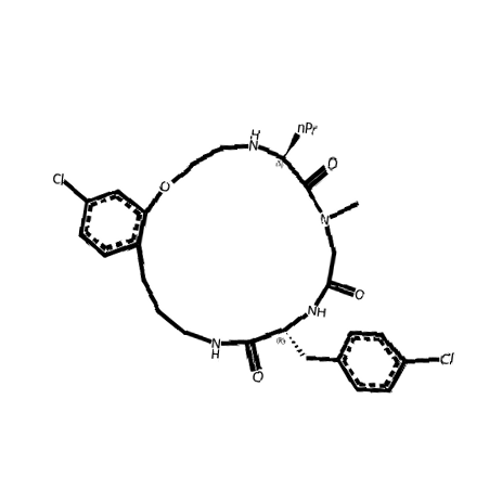 CCC[C@@H]1NCCOc2cc(Cl)ccc2CCCNC(=O)[C@@H](Cc2ccc(Cl)cc2)NC(=O)CN(C)C1=O